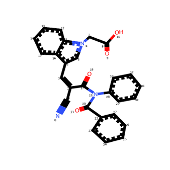 N#CC(=Cc1cn(CC(=O)O)c2ccccc12)C(=O)N(C(=O)c1ccccc1)c1ccccc1